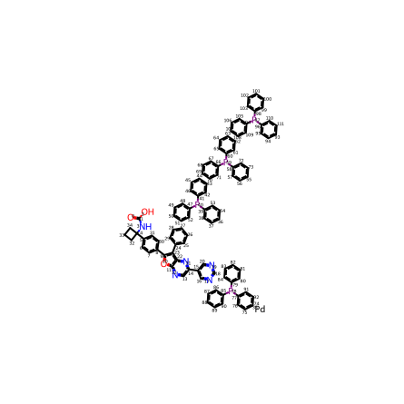 O=C(O)NC1(c2ccc(-c3oc4ncc(-c5cncnc5)nc4c3-c3ccccc3)cc2)CCC1.[Pd].c1ccc(P(c2ccccc2)c2ccccc2)cc1.c1ccc(P(c2ccccc2)c2ccccc2)cc1.c1ccc(P(c2ccccc2)c2ccccc2)cc1.c1ccc(P(c2ccccc2)c2ccccc2)cc1